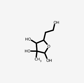 CC1(O)C(O)OC(CCO)C1O